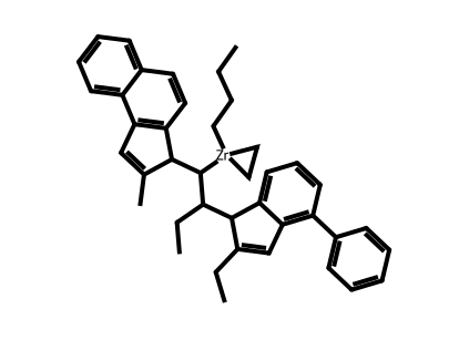 CCC[CH2][Zr]1([CH](C2C(C)=Cc3c2ccc2ccccc32)C(CC)C2C(CC)=Cc3c(-c4ccccc4)cccc32)[CH2][CH2]1